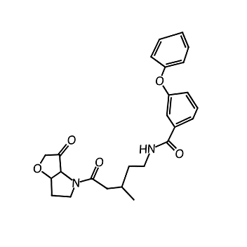 CC(CCNC(=O)c1cccc(Oc2ccccc2)c1)CC(=O)N1CCC2OCC(=O)C21